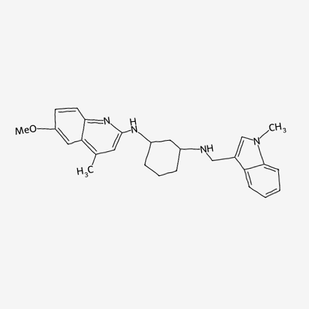 COc1ccc2nc(NC3CCCC(NCc4cn(C)c5ccccc45)C3)cc(C)c2c1